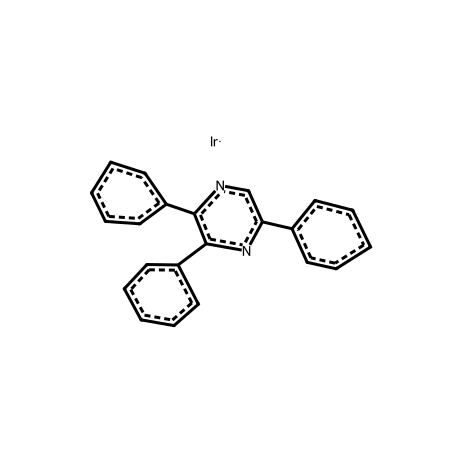 [Ir].c1ccc(-c2cnc(-c3ccccc3)c(-c3ccccc3)n2)cc1